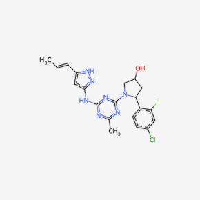 C/C=C/c1cc(Nc2nc(C)nc(N3CC(O)CC3c3ccc(Cl)cc3F)n2)n[nH]1